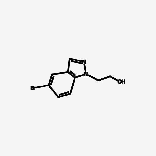 OCCn1ncc2cc(Br)ccc21